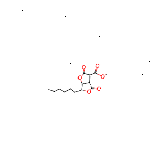 CCCCCCC1OC(=O)C2C(C(=O)OC)C(=O)OC12